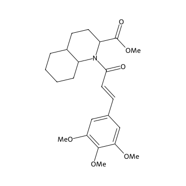 COC(=O)C1CCC2CCCCC2N1C(=O)/C=C/c1cc(OC)c(OC)c(OC)c1